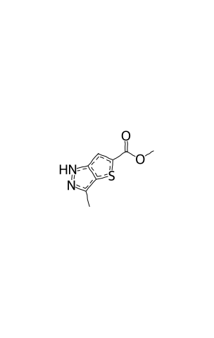 COC(=O)c1cc2[nH]nc(C)c2s1